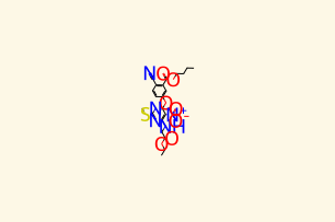 CCCCOC(=O)c1cc(Oc2nc(SC)nc(NCC(=O)OCC)c2[N+](=O)[O-])ccc1C#N